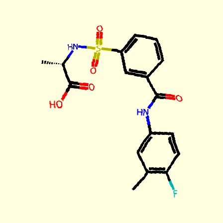 Cc1cc(NC(=O)c2cccc(S(=O)(=O)N[C@@H](C)C(=O)O)c2)ccc1F